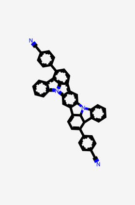 N#Cc1ccc(C2=CC=C3c4cc5c(cc4N4c6ccccc6C2C34)c2ccc(-c3ccc(C#N)cc3)c3c4ccccc4n5c23)cc1